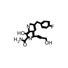 NC(=O)c1nc(C#CCO)c2cc(Cc3ccc(F)cc3)cnc2c1O